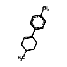 Cc1ccc(C2=CCN(C)CC2)cc1